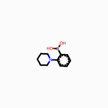 OB(O)c1ccccc1N1CCCCC1